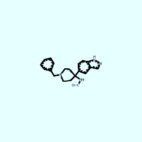 O=CNC1(c2ccc3[nH]ncc3c2)CCN(Cc2ccccc2)CC1